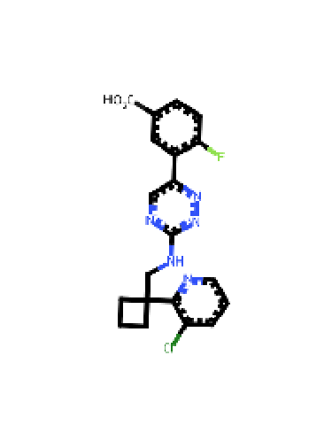 O=C(O)c1ccc(F)c(-c2cnc(NCC3(c4ncccc4Cl)CCC3)nn2)c1